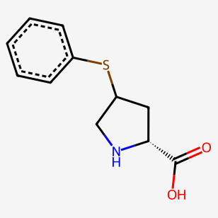 O=C(O)[C@H]1CC(Sc2ccccc2)CN1